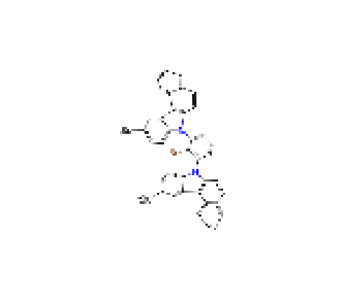 CC(C)(C)c1ccc2c(c1)c1c3ccccc3ccc1n2-c1cccc(-n2c3ccc(C(C)(C)C)cc3c3c4ccccc4ccc32)c1Br